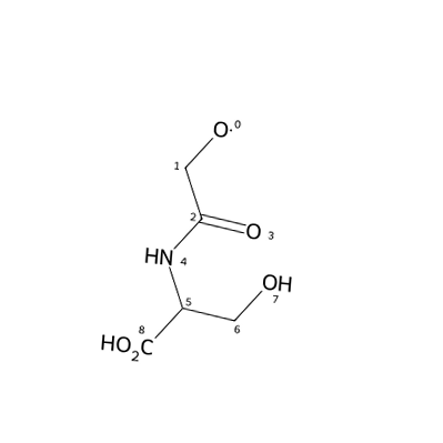 [O]CC(=O)NC(CO)C(=O)O